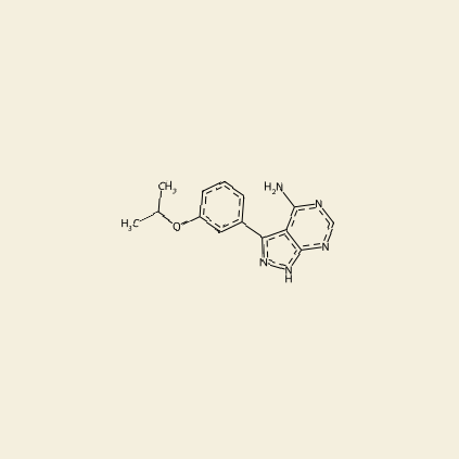 CC(C)Oc1cccc(-c2n[nH]c3ncnc(N)c23)c1